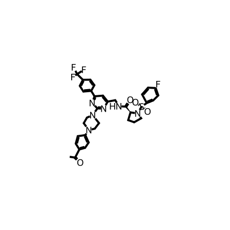 CC(=O)c1ccc(N2CCN(c3nc(CNC(=O)[C@@H]4CCCN4S(=O)(=O)c4ccc(F)cc4)cc(-c4ccc(C(F)(F)F)cc4)n3)CC2)cc1